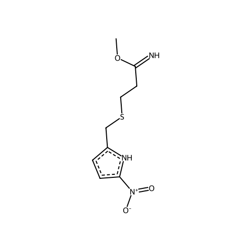 COC(=N)CCSCc1ccc([N+](=O)[O-])[nH]1